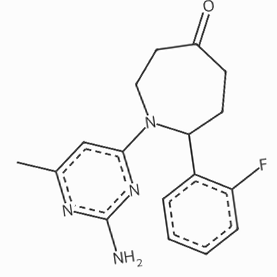 Cc1cc(N2CCC(=O)CCC2c2ccccc2F)nc(N)n1